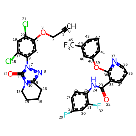 C#CCOc1cc(-n2nc3n(c2=O)CCCC3)c(Cl)cc1Cl.O=C(Nc1ccc(F)cc1F)c1cccnc1Oc1cccc(C(F)(F)F)c1